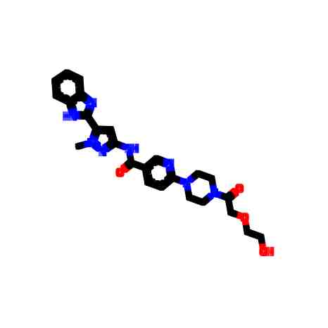 Cn1nc(NC(=O)c2ccc(N3CCN(C(=O)COCCO)CC3)nc2)cc1-c1nc2ccccc2[nH]1